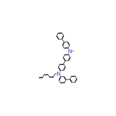 C=C/C=C\C=C/CN(c1ccc(-c2ccc(N(C)c3ccc(-c4ccccc4)cc3)cc2)cc1)c1cccc(-c2ccccc2)c1